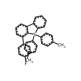 Cc1ccc(S2(c3ccc(C)cc3)c3ccccc3-c3cccc(-c4ccc(F)cc4)c32)cc1